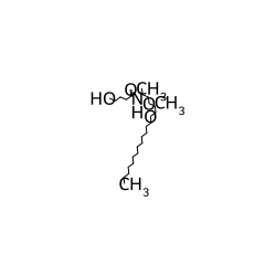 CCCCCCCCCCCCCOCC(C)OCC(C)NC(=O)CCCO